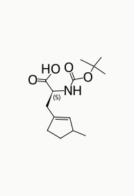 CC1C=C(C[C@H](NC(=O)OC(C)(C)C)C(=O)O)CC1